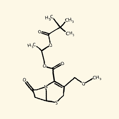 COCC1=C(C(=O)OC(C)OC(=O)C(C)(C)C)N2C(=O)CC2SC1